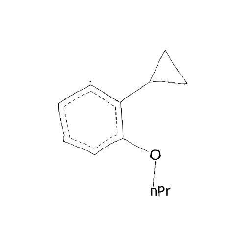 CCCOc1ccc[c]c1C1CC1